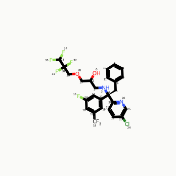 OC(CN[C@@](Cc1ccccc1)(c1cc(F)cc(C(F)(F)F)c1)c1ccc(Cl)cn1)COCC(F)(F)C(F)F